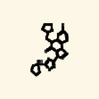 O=c1c2c(-c3noc(C4(O)CCCC4)n3)ncn2c2ccc(F)cc2n1CC1CCCO1